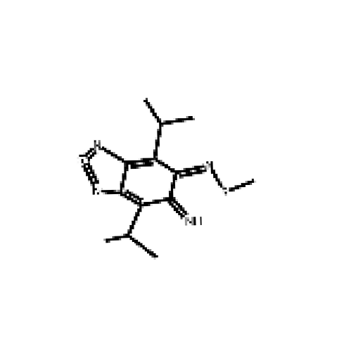 CS/N=C1\C(=N)C(C(C)C)=C2N=S=NC2=C1C(C)C